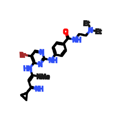 CCN(CC)CCNC(=O)c1ccc(Nc2ncc(Br)c(N/C(=C/C(=N)C3CC3)NC)n2)cc1